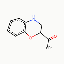 CCCC(=O)C1CNc2ccccc2O1